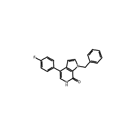 O=c1[nH]cc(-c2ccc(F)cc2)c2ccn(Cc3ccccc3)c12